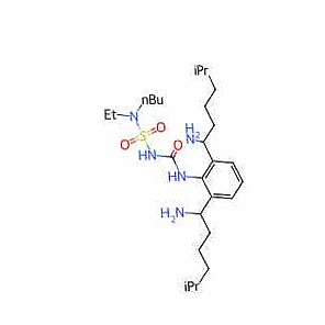 CCCCN(CC)S(=O)(=O)NC(=O)Nc1c(C(N)CCCC(C)C)cccc1C(N)CCCC(C)C